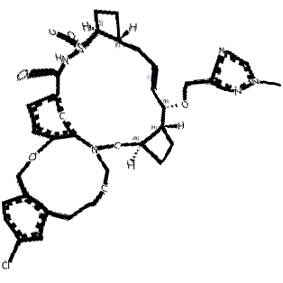 Cn1cnc(CO[C@H]2/C=C/C[C@H]3CC[C@@H]3S(=O)(=O)NC(=O)c3ccc4c(c3)N(CCCCc3cc(Cl)ccc3CO4)C[C@@H]3CC[C@H]32)n1